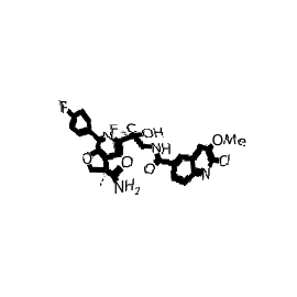 COc1cc2cc(C(=O)NCC(O)(c3cc4c(c(-c5ccc(F)cc5)n3)OC[C@]4(C)C(N)=O)C(F)(F)F)ccc2nc1Cl